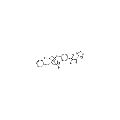 O=S(=O)(Nc1nccs1)c1ccc(O[C@@]23C[C@H]4CC2[C@@H](C3)N4Cc2ccccc2)c(Cl)c1